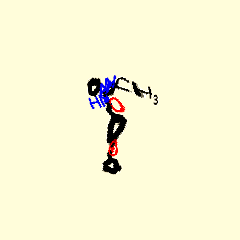 Cc1cc(NC(=O)Cc2ccc(OCc3ccccc3)cc2)n(-c2ccccc2)n1